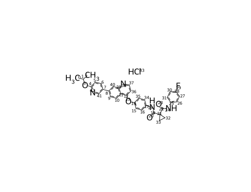 CC(C)Oc1ccc(-c2ccc3c(Oc4ccc(NC(=O)C5(C(=O)Nc6ccc(F)cc6)CC5)cc4)ccnc3c2)cn1.Cl